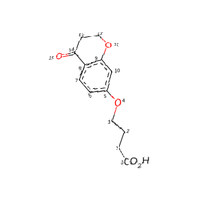 O=C(O)CCCOc1ccc2c(c1)OCCC2=O